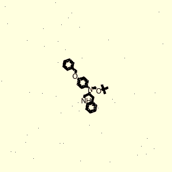 CC(C)(C)OCN(c1ccc(OCc2ccccc2)cc1)C(CN)Cc1ccccc1